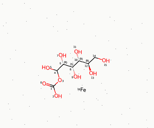 O=C(O)OC(O)[C@H](O)[C@@H](O)[C@H](O)[C@H](O)CO.[Fe]